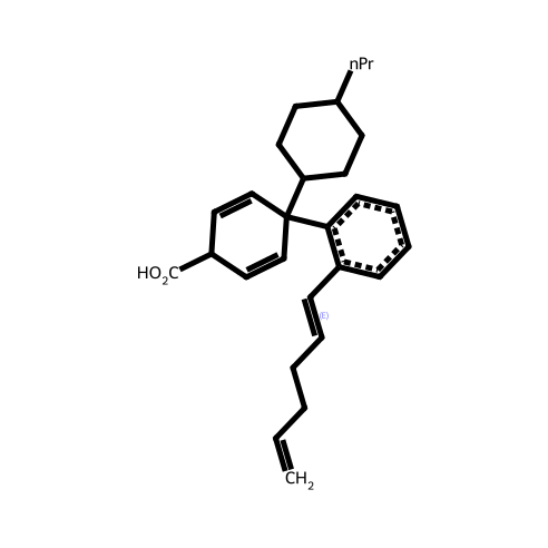 C=CCC/C=C/c1ccccc1C1(C2CCC(CCC)CC2)C=CC(C(=O)O)C=C1